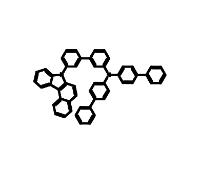 c1ccc(-c2ccc(N(c3ccc(-c4ccccc4)cc3)c3cccc(-c4cccc(-n5c6ccccc6c6c7ccccc7ccc65)c4)c3)cc2)cc1